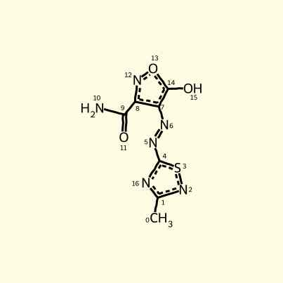 Cc1nsc(N=Nc2c(C(N)=O)noc2O)n1